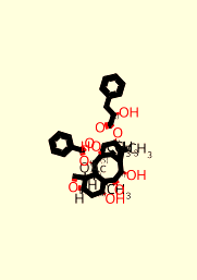 CC(=O)O[C@@]12CO[C@@H]1C[C@H](O)[C@@]1(C)C(=O)[C@H](O)C3=C(C)[C@@H](OC(=O)[C@H](O)Cc4ccccc4)C[C@@](O)([C@@H](OC(=O)c4ccccc4)[C@H]21)C3(C)C